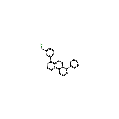 FCc1cccc(-c2cccc3c2ccc2c(-c4ccccc4)cccc23)c1